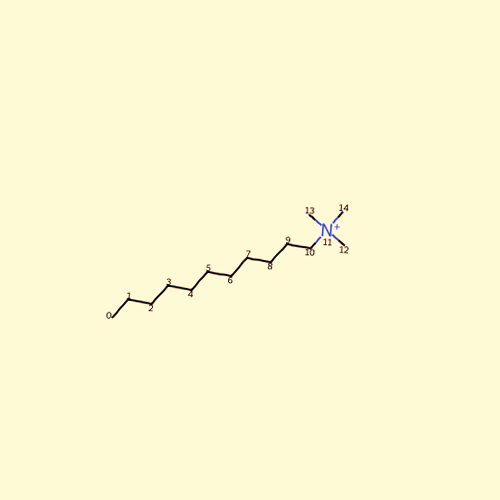 CCCCCCCCCCC[N+](C)(C)C